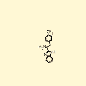 N[C@H](Cc1ccc(C(F)(F)F)cc1)c1nc2ccccc2[nH]1